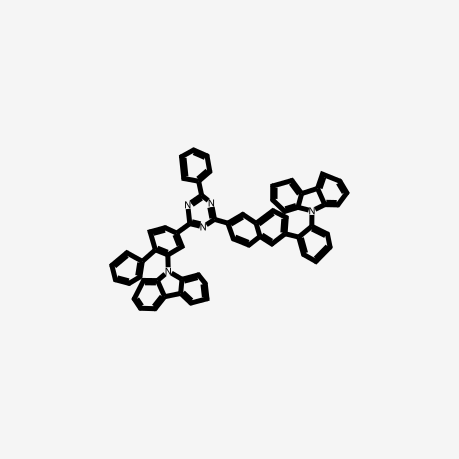 c1ccc(-c2nc(-c3ccc(-c4ccccc4)c(-n4c5ccccc5c5ccccc54)c3)nc(-c3ccc4cc(-c5ccccc5-n5c6ccccc6c6ccccc65)ccc4c3)n2)cc1